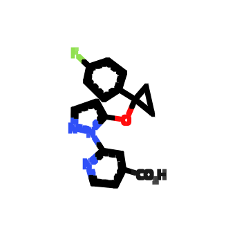 O=C(O)c1ccnc(-n2nccc2OC2(c3ccc(F)cc3)CC2)c1